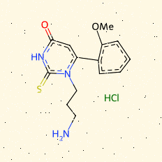 COc1ccccc1-c1cc(=O)[nH]c(=S)n1CCCN.Cl